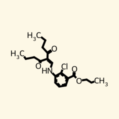 CCCOC(=O)c1cccc(NC=C(C(=O)CCC)C(=O)CCC)c1Cl